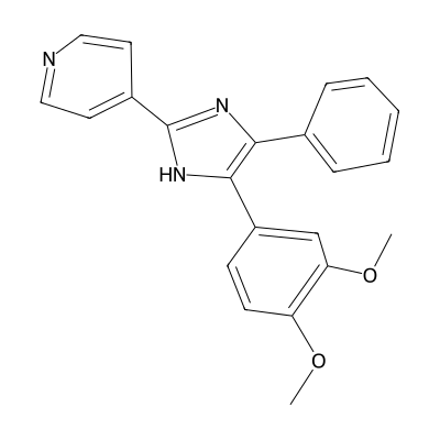 COc1ccc(-c2[nH]c(-c3ccncc3)nc2-c2ccccc2)cc1OC